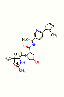 CC(=O)N[C@H](C(=O)N1C[C@H](O)C[C@H]1C(=O)N[C@@H](C)c1ccc(-c2scnc2C)nc1)C(C)(C)C